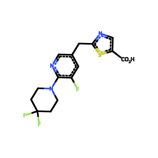 O=C(O)c1cnc(Cc2cnc(N3CCC(F)(F)CC3)c(F)c2)s1